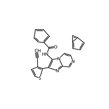 C#Cc1ccsc1-c1nc2cnccn2c1NC(=O)c1ccccc1.c1cc2cc-2c1